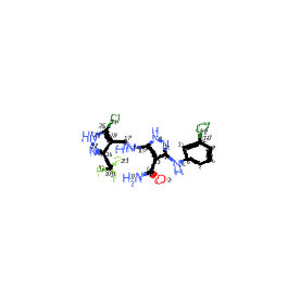 NC(=O)c1c(Nc2cccc(Cl)c2)n[nH]c1NCc1c(C(F)(F)F)n[nH]c1Cl